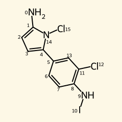 Nc1ccc(-c2ccc(NI)c(Cl)c2)n1Cl